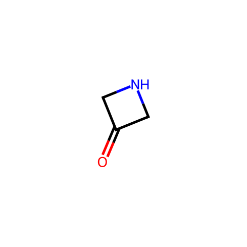 O=C1CNC1